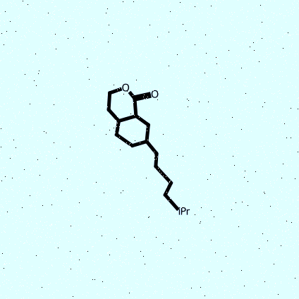 CC(C)CCCCC1CCC2CCOC(=O)C2C1